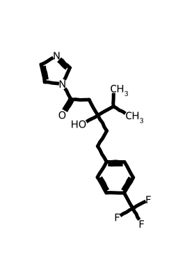 CC(C)C(O)(CCc1ccc(C(F)(F)F)cc1)CC(=O)n1ccnc1